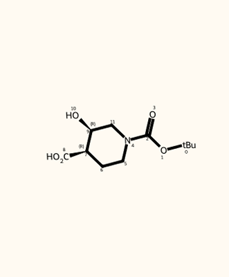 CC(C)(C)OC(=O)N1CC[C@@H](C(=O)O)[C@@H](O)C1